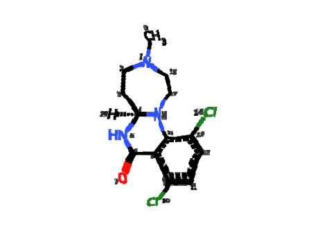 CN1CC[C@@H]2NC(=O)c3c(Cl)ccc(Cl)c3N2CC1